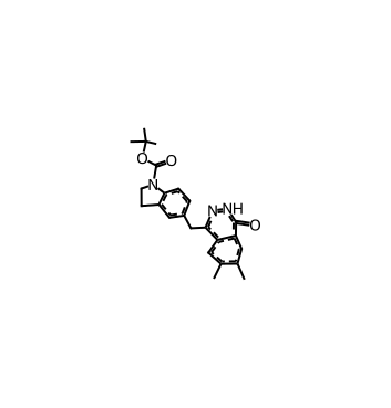 Cc1cc2c(Cc3ccc4c(c3)CCN4C(=O)OC(C)(C)C)n[nH]c(=O)c2cc1C